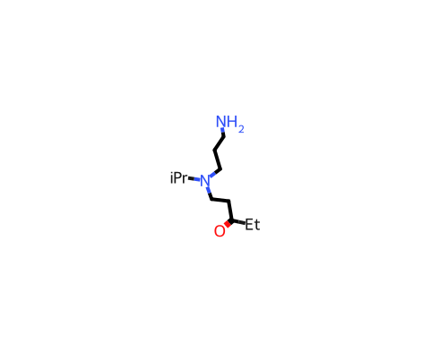 CCC(=O)CCN(CCCN)C(C)C